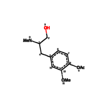 CNC(CO)Cc1ccc(OC(C)=O)c(OC)c1